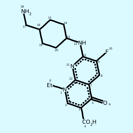 CCn1cc(C(=O)O)c(=O)c2cc(F)c(NC3CCC(CN)CC3)nc21